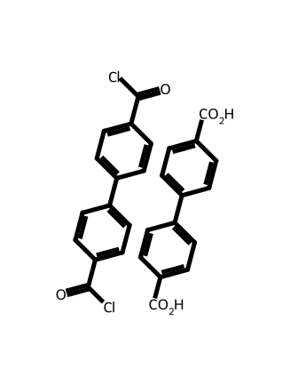 O=C(Cl)c1ccc(-c2ccc(C(=O)Cl)cc2)cc1.O=C(O)c1ccc(-c2ccc(C(=O)O)cc2)cc1